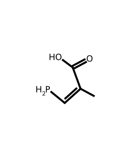 CC(=CP)C(=O)O